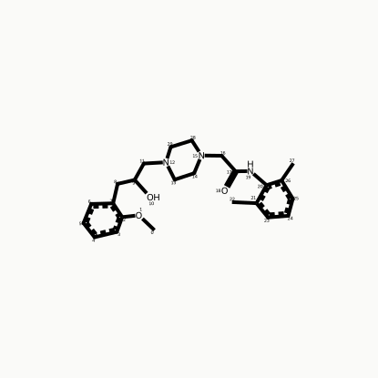 COc1ccccc1CC(O)CN1CCN(CC(=O)Nc2c(C)cccc2C)CC1